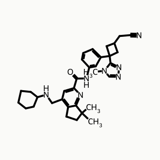 Cn1cnnc1C1(c2cccc(NC(=O)c3cc(CNC4CCCCC4)c4c(n3)C(C)(C)CC4)c2)CC(CC#N)C1